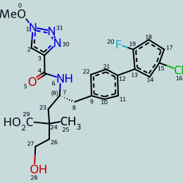 COn1cc(C(=O)N[C@H](Cc2ccc(-c3cc(Cl)ccc3F)cc2)CC(C)(CCO)C(=O)O)nn1